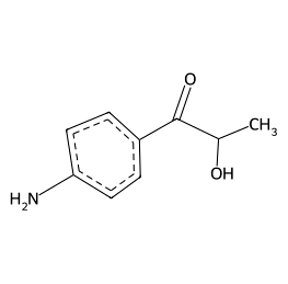 CC(O)C(=O)c1ccc(N)cc1